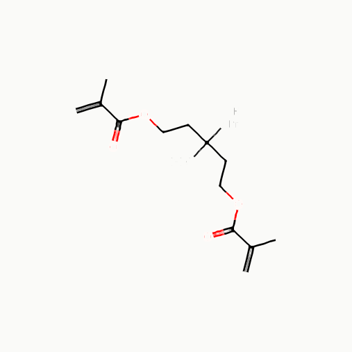 C=C(C)C(=O)OCCC(CCC)(CCOC(=O)C(=C)C)C(=O)[O-].[K+]